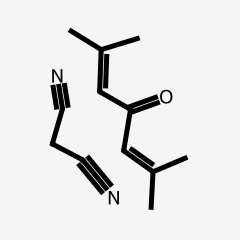 CC(C)=CC(=O)C=C(C)C.N#CCC#N